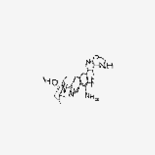 Cc1c(-c2cc3cc(N(C(=O)O)C4(C)CCC4C)ncc3c(N)c2F)cnc2c1NCCO2